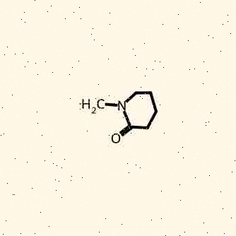 [CH2]N1CCCCC1=O